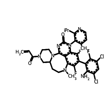 C=CC(=O)N1CCN2c3nc(=O)n(-c4c(C)ccnc4C(C)C)c4c(F)c(-c5c(N)c(Cl)cc(Cl)c5F)c(F)c(c34)N(C)CCC2C1